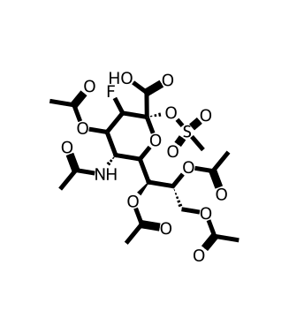 CC(=O)N[C@@H]1C(OC(C)=O)C(F)[C@@](OS(C)(=O)=O)(C(=O)O)OC1[C@H](OC(C)=O)[C@@H](COC(C)=O)OC(C)=O